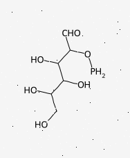 O=CC(OP)C(O)C(O)C(O)CO